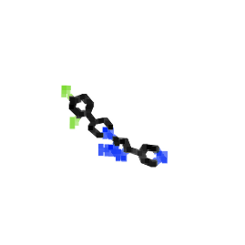 Fc1ccc(C2CCN(c3cc(-c4ccncc4)n[nH]3)CC2)c(F)c1